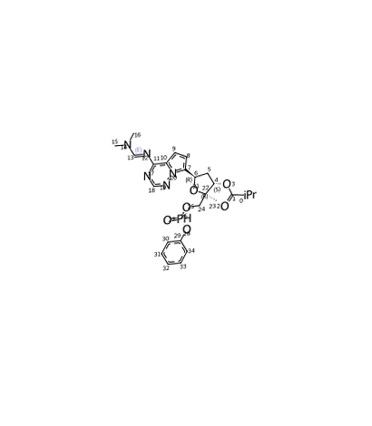 CC(C)C(=O)O[C@H]1C[C@H](c2ccc3c(/N=C/N(C)C)ncnn23)O[C@]1(C)CO[PH](=O)Oc1ccccc1